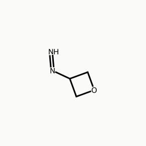 N=NC1COC1